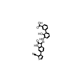 N#Cc1sccc1-c1ccc2c(c1)NC(=O)C2=NNc1cccc(-c2cccc(C(=O)O)c2)c1O